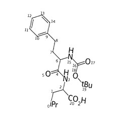 CC(C)CC(NC(=O)C(CCc1ccccc1)NC(=O)OC(C)(C)C)C(=O)O